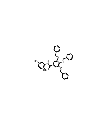 O=C(Nc1cc(S)ccc1O)c1cc(OCc2ccccc2)c(OCc2ccccc2)c(OCc2ccccc2)c1